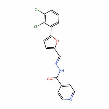 O=C(NN=Cc1ccc(-c2cccc(Cl)c2Cl)o1)c1ccncc1